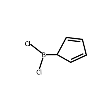 ClB(Cl)C1C=CC=C1